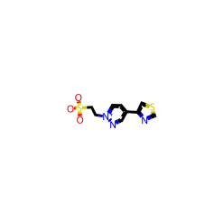 O=S(=O)([O-])CC[n+]1ccc(-c2cscn2)cn1